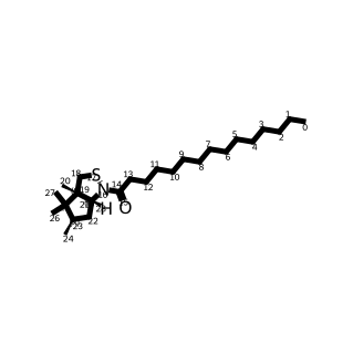 CCCCCCCCCCCCCCC(=O)N1SC[C@]2(C)[C@H]1C[C@@H](C)C2(C)C